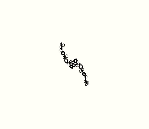 C=CC(=O)OCCOc1ccc(C(=O)OC2CCC(OC(=O)c3cccc4c3C3(CC4)CCc4cccc(C(=O)OC5CCC(OC(=O)c6ccc(OCOC(=O)C=C)cc6)CC5)c43)CC2)cc1